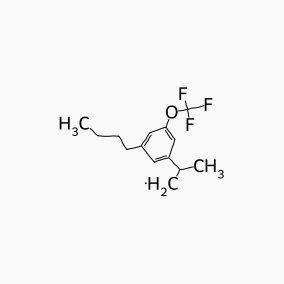 [CH2]C(C)c1cc(CCCC)cc(OC(F)(F)F)c1